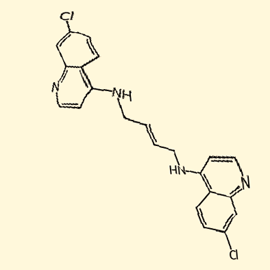 Clc1ccc2c(NC/C=C/CNc3ccnc4cc(Cl)ccc34)ccnc2c1